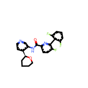 O=C(Nc1cnccc1[C@@H]1CCCCO1)c1ccc(F)c(-c2c(F)cccc2F)n1